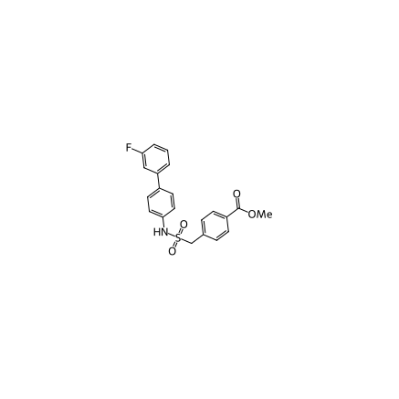 COC(=O)c1ccc(CS(=O)(=O)Nc2ccc(-c3cccc(F)c3)cc2)cc1